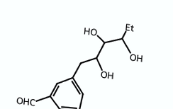 CCC(O)C(O)C(O)Cc1cccc(C=O)c1